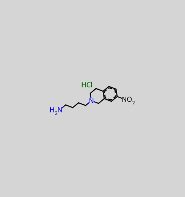 Cl.NCCCCN1CCc2ccc([N+](=O)[O-])cc2C1